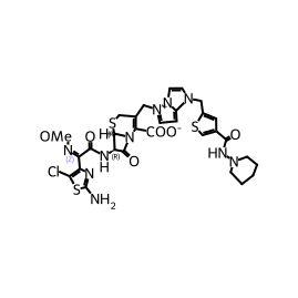 CO/N=C(\C(=O)N[C@@H]1C(=O)N2C(C(=O)[O-])=C(C[n+]3ccc4n(Cc5cc(C(=O)NN6CCCCC6)cs5)ccn43)CS[C@H]12)c1nc(N)sc1Cl